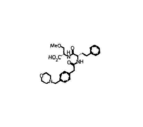 COC[C@H](NC(=O)[C@H](CCc1ccccc1)NC(=O)Cc1ccc(CN2CCOCC2)cc1)C(=O)O